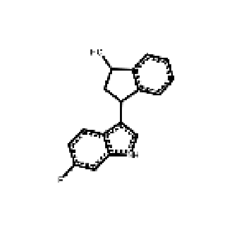 OC1CC(c2c[nH]c3cc(F)ccc23)c2ccccc21